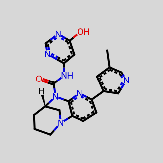 Cc1cncc(-c2ccc3c(n2)N(C(=O)Nc2cc(O)ncn2)[C@H]2CCCN3C2)c1